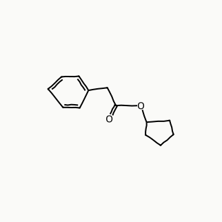 O=C(Cc1ccccc1)OC1CCCC1